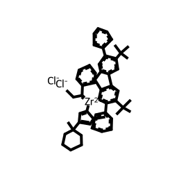 CC/[C](c1ccccc1)=[Zr+2](\[C]1=CC(C2(C)CCCCC2)=CC1C)[c]1c2c(cc(C(C)(C)C)c1-c1ccccc1)-c1cc(C(C)(C)C)c(-c3ccccc3)cc1C2.[Cl-].[Cl-]